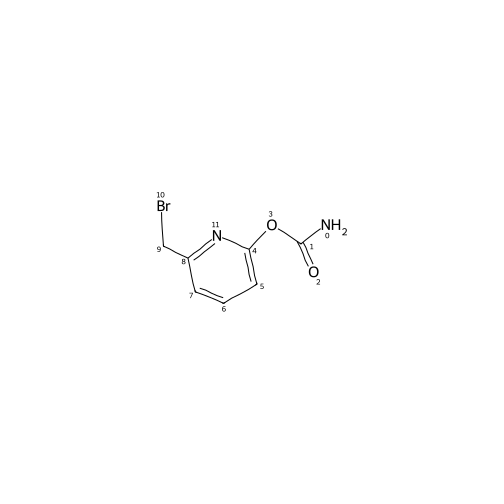 NC(=O)Oc1cccc(CBr)n1